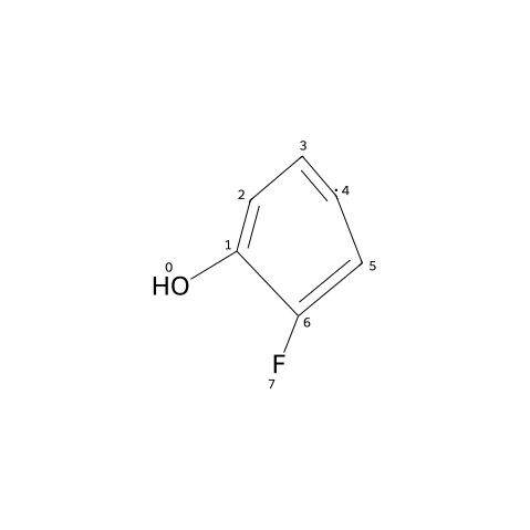 Oc1cc[c]cc1F